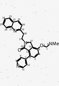 CNCOc1ccc(-c2ccncc2)c2c1CN(CCc1ccc3ccccc3n1)C2=O